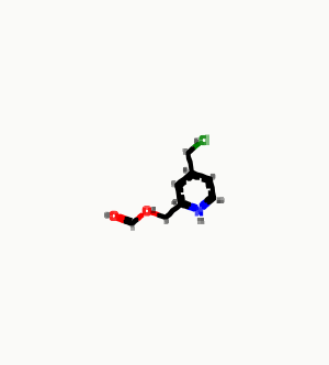 O=COCc1cc(CCl)ccn1